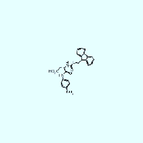 O=C(O)C[C@H](NC(=O)OCC1c2ccccc2-c2ccccc21)C(=O)Nc1ccc([N+](=O)[O-])cc1